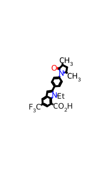 CCn1c(-c2ccc(N3C(=O)C(C)CC3C)cc2)cc2cc(C(F)(F)F)cc(C(=O)O)c21